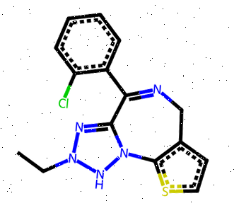 CCN1N=C2C(c3ccccc3Cl)=NCc3ccsc3N2N1